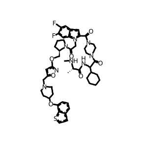 CN[C@@H](C)C(=O)NC(C(=O)N1CCN(C(=O)c2cc3cc(F)c(F)cc3n2CC(=O)N2CCC[C@@H]2COc2cc(CN3CCC(Oc4cccc5ccsc45)CC3)on2)CC1)C1CCCCC1